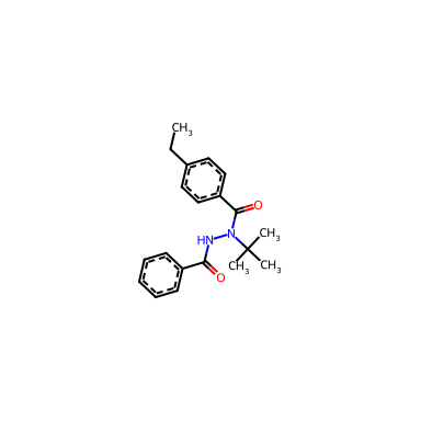 CCc1ccc(C(=O)N(NC(=O)c2ccccc2)C(C)(C)C)cc1